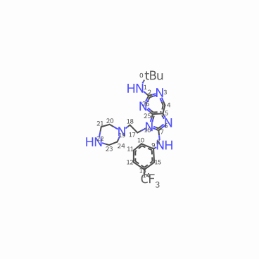 CC(C)(C)Nc1ncc2nc(Nc3cccc(C(F)(F)F)c3)n(CCN3CCNCC3)c2n1